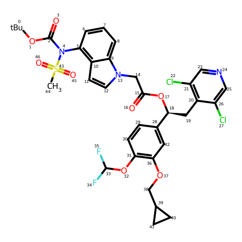 CC(C)(C)OC(=O)N(c1cccc2c1ccn2CC(=O)O[C@@H](Cc1c(Cl)cncc1Cl)c1ccc(OC(F)F)c(OCC2CC2)c1)S(C)(=O)=O